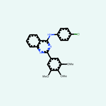 COc1cc(-c2nc(Nc3ccc(Cl)cc3)c3ccccc3n2)cc(OC)c1OC